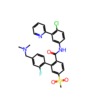 CN(C)Cc1ccc(-c2cc(S(C)(=O)=O)ccc2C(=O)Nc2ccc(Cl)c(-c3ccccn3)c2)c(F)c1